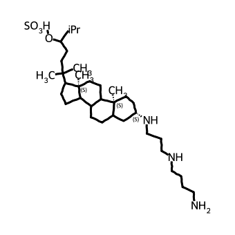 CC(C)C(CCC(C)(C)C1CCC2C3CCC4C[C@@H](NCCCNCCCCN)CC[C@]4(C)C3CC[C@@]21C)OS(=O)(=O)O